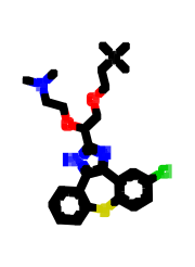 CN(C)CCOC(COCC[Si](C)(C)C)c1nc2c([nH]1)-c1ccccc1Sc1ccc(Cl)cc1-2